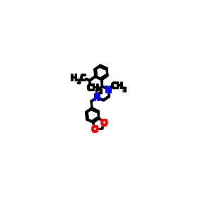 CC(C)c1ccccc1C1CN(Cc2ccc3c(c2)OCO3)CCN1C